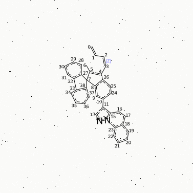 C=C/C=C\C1=C(C)C2(c3cc(-c4cnn5c4ccc4ccccc45)ccc31)c1ccccc1-c1ccccc12